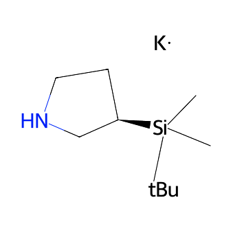 CC(C)(C)[Si](C)(C)[C@@H]1CCNC1.[K]